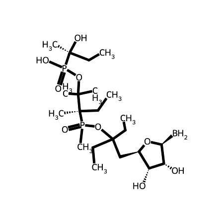 B[C@@H]1O[C@H](CC(CC)(CC)OP(C)(=O)[C@](C)(CC)C(C)(C)OP(=O)(O)[C@@](C)(O)CC)[C@@H](O)[C@H]1O